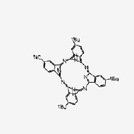 CC(C)(C)c1ccc2c(c1)-c1nc-2nc2[nH]c(nc3nc(nc4[nH]c(n1)c1ccc(C(C)(C)C)cc41)-c1cc(C#N)ccc1-3)c1cc(C(C)(C)C)ccc21